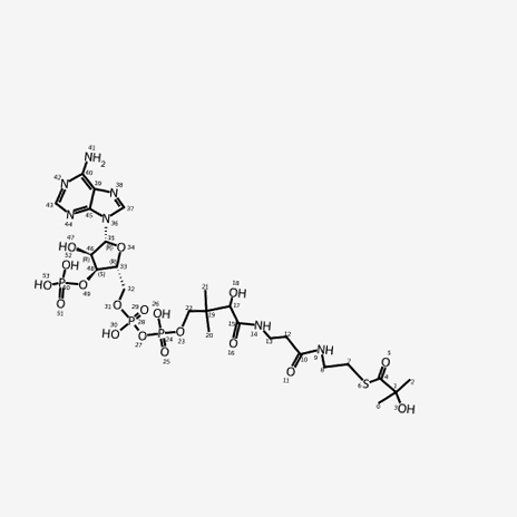 CC(C)(O)C(=O)SCCNC(=O)CCNC(=O)C(O)C(C)(C)COP(=O)(O)OP(=O)(O)OC[C@H]1O[C@@H](n2cnc3c(N)ncnc32)[C@H](O)[C@@H]1OP(=O)(O)O